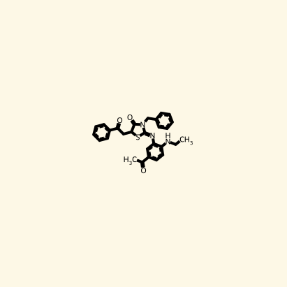 CCNc1ccc(C(C)=O)cc1/N=C1\SC(CC(=O)c2ccccc2)C(=O)N1Cc1ccccc1